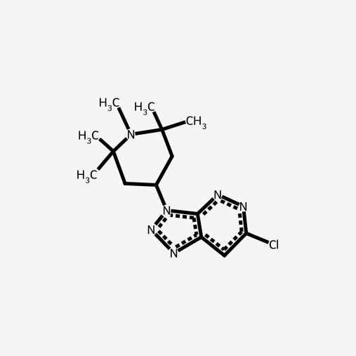 CN1C(C)(C)CC(n2nnc3cc(Cl)nnc32)CC1(C)C